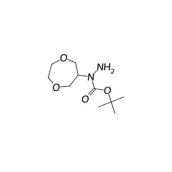 CC(C)(C)OC(=O)N(N)C1COCCOC1